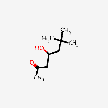 CC(=O)CC(O)CC(C)(C)C